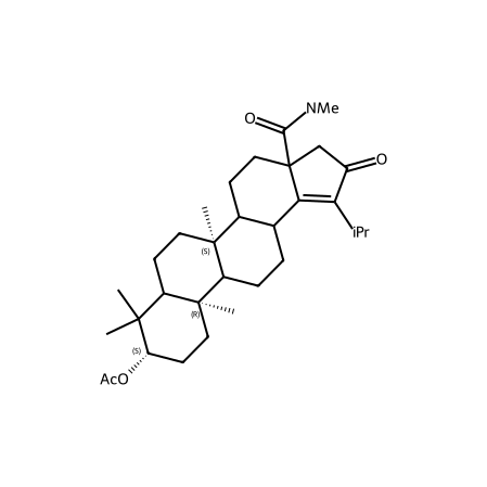 CNC(=O)C12CCC3C(CCC4[C@@]3(C)CCC3C(C)(C)[C@@H](OC(C)=O)CC[C@@]34C)C1=C(C(C)C)C(=O)C2